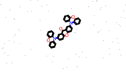 O=c1c2cc(N3c4ccccc4Oc4ccccc43)ccc2oc2ccc(N3c4ccccc4Oc4ccccc43)cc12